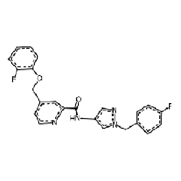 O=C(Nc1cnn(Cc2ccc(F)cc2)c1)c1cc(COc2ccccc2F)ccn1